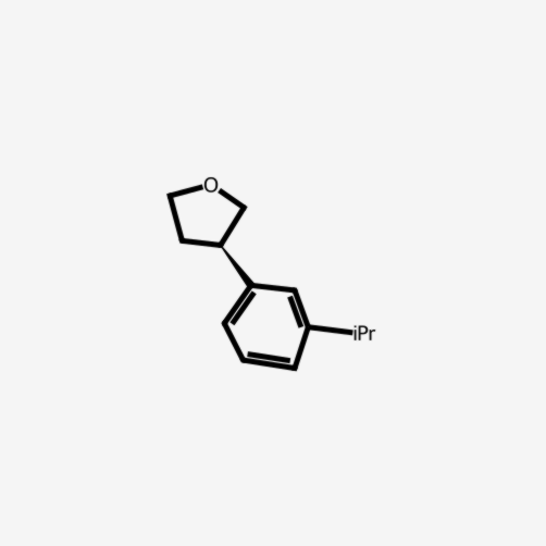 CC(C)c1cccc([C@H]2CCOC2)c1